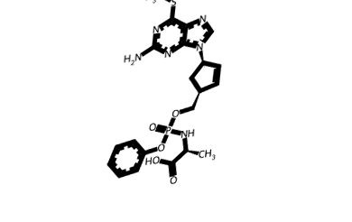 CSc1nc(N)nc2c1ncn2[C@H]1C=C[C@@H](COP(=O)(N[C@@H](C)C(=O)O)Oc2ccccc2)C1